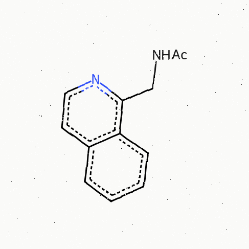 CC(=O)NCc1nccc2ccccc12